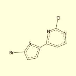 Clc1nccc(-c2ccc(Br)s2)n1